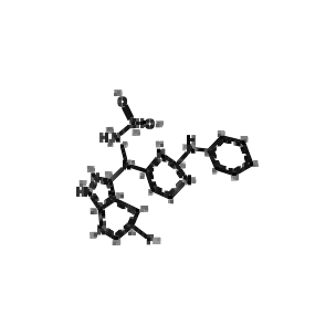 CN(c1ccnc(Nc2ccccc2)n1)c1n[nH]c2ncc(F)cc12.N[SH](=O)=O